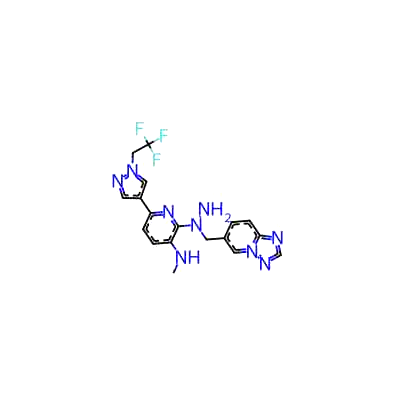 CNc1ccc(-c2cnn(CC(F)(F)F)c2)nc1N(N)Cc1ccc2ncnn2c1